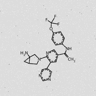 C=C(Nc1ccc(OC(F)(F)F)cc1)c1cnc(N2CC3CC3(N)C2)c(-c2cncnc2)c1